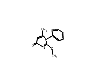 CSc1nc(=O)cc(C)n1-c1ccccc1